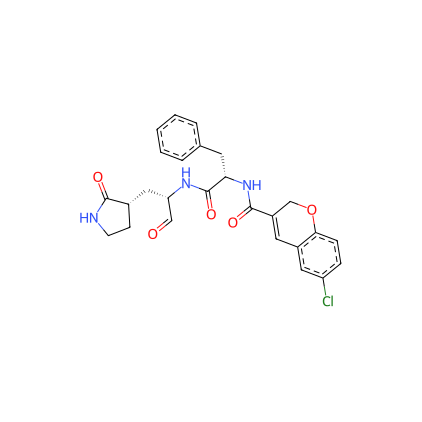 O=C[C@H](C[C@@H]1CCNC1=O)NC(=O)[C@H](Cc1ccccc1)NC(=O)C1=Cc2cc(Cl)ccc2OC1